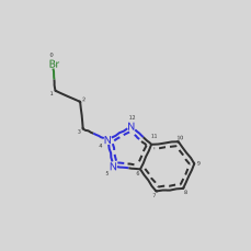 BrCCCn1nc2ccccc2n1